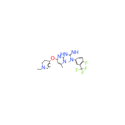 CCN1CCC(Oc2cc(C)nc(NC(=N)N(C)c3ccc(F)c(C(F)(F)F)c3)n2)CC1